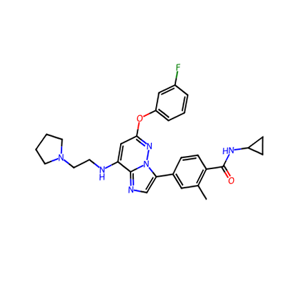 Cc1cc(-c2cnc3c(NCCN4CCCC4)cc(Oc4cccc(F)c4)nn23)ccc1C(=O)NC1CC1